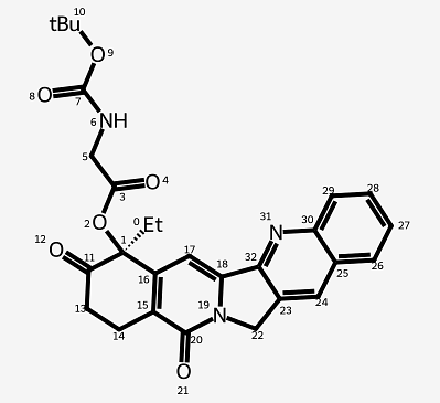 CC[C@@]1(OC(=O)CNC(=O)OC(C)(C)C)C(=O)CCc2c1cc1n(c2=O)Cc2cc3ccccc3nc2-1